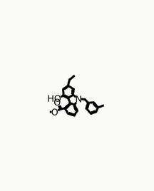 CCc1cc(O)c2c3c(C(=O)OC)cccc3n(Cc3cccc(C)c3)c2c1